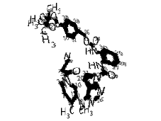 C[C@@H]1CCN(C(=O)CC#N)C[C@@H]1N(C)c1ncnc2c1ccn2C(=O)Nc1ccccc1NC(=O)OCc1ccc(B2OC(C)(C)C(C)(C)O2)cc1